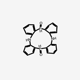 O=[PH]1c2ccccc2Nc2ccccc2[PH](=O)c2ccccc2Nc2ccccc21